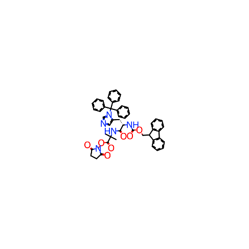 CC(C)(NC(=O)[C@H](Cc1cncn1C(c1ccccc1)(c1ccccc1)c1ccccc1)NC(=O)OCC1c2ccccc2-c2ccccc21)C(=O)ON1C(=O)CCC1=O